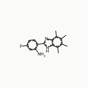 Cc1c(C)c(C)c2[nH]c(-c3ccc(F)cc3N)nc2c1C